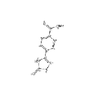 COC(=O)c1ccc(-c2nsc(=O)[nH]2)cc1